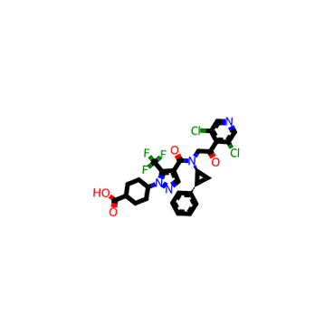 O=C(CN(C(=O)c1cnn(C2CCC(C(=O)O)CC2)c1C(F)(F)F)[C@H]1C[C@@H]1c1ccccc1)c1c(Cl)cncc1Cl